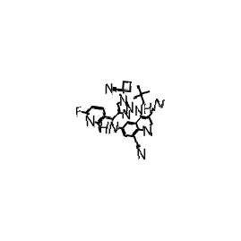 Cc1nc(F)ccc1[C@H](Nc1cc(C#N)c2ncc(C#N)c(NCC(C)(C)C)c2c1)c1cn(C2(C#N)CCC2)nn1